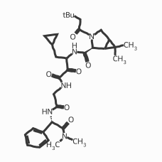 CN(C)C(=O)[C@@H](NC(=O)CNC(=O)C(=O)C(CC1CC1)NC(=O)[C@@H]1C2C(CN1C(=O)CC(C)(C)C)C2(C)C)c1ccccc1